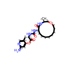 C[C@H]1COCCCCCCCC[C@@H](NC(=O)N[C@@H](Cc2ccc(N)nc2)C(=O)O)C(=O)N1